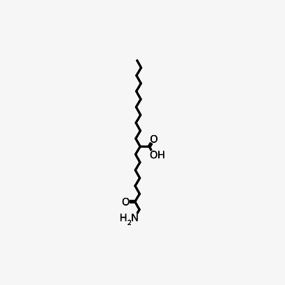 CCCCCCCCCCCC(CCCCCCC(=O)CN)C(=O)O